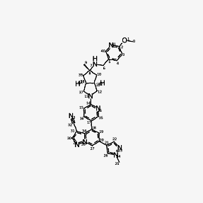 COc1ccc(CN[C@]2(C)C[C@H]3CN(c4ccc(-c5cc(-c6cnn(C)c6)cn6ncc(C#N)c56)cn4)C[C@H]3C2)cn1